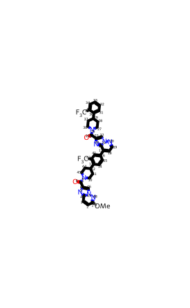 COc1ccc2nc(C(=O)N3CCC(c4ccc(-c5ccnn6cc(C(=O)N7CCC(c8ccccc8C(F)(F)F)CC7)nc56)cc4C(F)(F)F)CC3)cn2n1